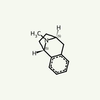 CN1[C@H]2CC[C@H]1c1ccccc1C2